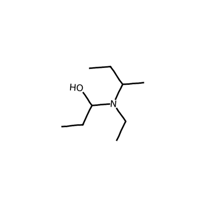 CCC(C)N(CC)C(O)CC